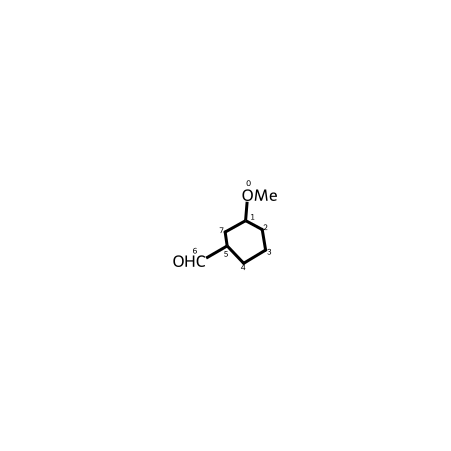 COC1CCCC(C=O)C1